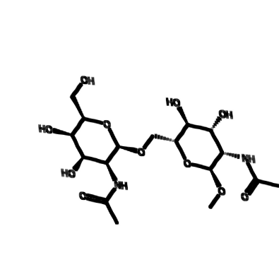 CO[C@H]1O[C@H](CO[C@@H]2O[C@H](CO)[C@H](O)[C@H](O)[C@@H]2NC(C)=O)[C@@H](O)[C@H](O)[C@@H]1NC(C)=O